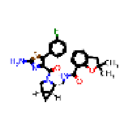 CC1(C)Cc2cccc(C(=O)NC[C@@H]3[C@H]4C[C@H]4CN3C(=O)c3nc(N)sc3-c3cccc(F)c3)c2O1